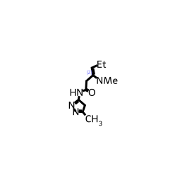 CC/C=C(/CC(=O)NC1=NN=C(C)C1)NC